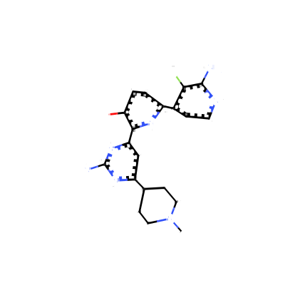 CN1CCC(c2cc(-c3nc(-c4ccnc(N)c4F)ccc3O)nc(N)n2)CC1